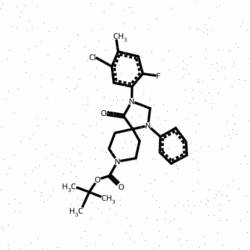 Cc1cc(F)c(N2CN(c3ccccc3)C3(CCN(C(=O)OC(C)(C)C)CC3)C2=O)cc1Cl